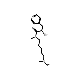 CC(C)[C@H](Cc1ccncc1)C(=O)N(C)CCCCCN(C)C(C)C